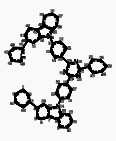 c1ccc(-c2ccc3c4ccccc4n(-c4ccc(-c5nc(-c6ccccc6)nc(-c6ccc(-n7c8ccccc8c8ccc(-c9ccccc9)cc87)cc6)n5)cc4)c3c2)cc1